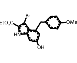 CCOC(=O)c1[nH]c2cc(O)cc(Cc3ccc(OC)cc3)c2c1Br